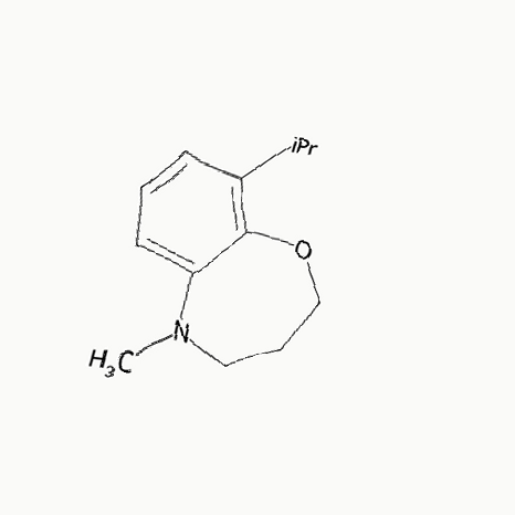 CC(C)c1cccc2c1OCCCN2C